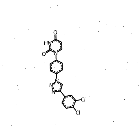 O=c1ccn(-c2ccc(-n3cc(-c4ccc(Cl)c(Cl)c4)nn3)cc2)c(=O)[nH]1